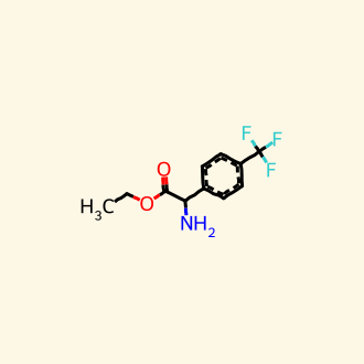 CCOC(=O)C(N)c1ccc(C(F)(F)F)cc1